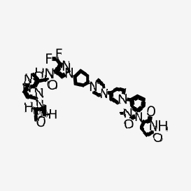 Cn1c(=O)n(C2CCC(=O)NC2=O)c2cccc(N3CCC(N4CCN([C@H]5CC[C@@H](n6cc(NC(=O)c7cnn8ccc(N9C[C@H]%10C[C@@H]9CO%10)nc78)c(C(F)F)n6)CC5)CC4)CC3)c21